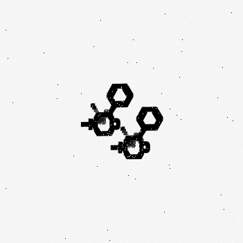 C[C@@H]1[C@@H](c2ccccc2)OCCN1C.C[C@@H]1[C@@H](c2ccccc2)OCCN1C